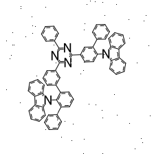 c1ccc(-c2nc(-c3cccc(-c4cccc(-c5ccccc5)c4-n4c5ccccc5c5ccccc54)c3)nc(-c3ccc(-n4c5ccccc5c5ccccc54)c(-c4ccccc4)c3)n2)cc1